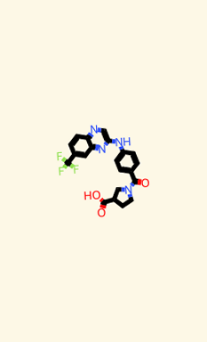 O=C(O)C1CCN(C(=O)c2ccc(Nc3cnc4ccc(C(F)(F)F)cc4n3)cc2)C1